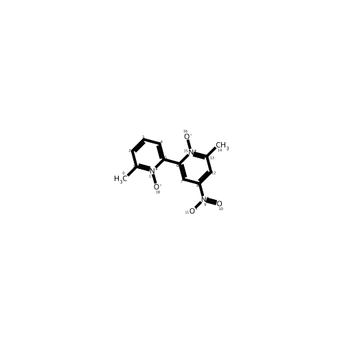 Cc1cccc(-c2cc([N+](=O)[O-])cc(C)[n+]2[O-])[n+]1[O-]